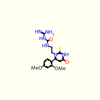 COc1ccc(-c2cc(=O)[nH]c(=S)n2CCNC(=O)NC(=N)N)c(OC)c1